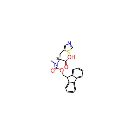 CN(C(=O)OCC1c2ccccc2-c2ccccc21)[C@@H](Cc1cncs1)C(=O)O